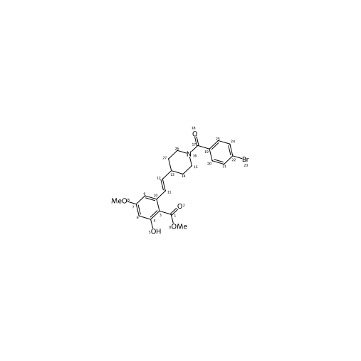 COC(=O)c1c(O)cc(OC)cc1C=CC1CCN(C(=O)c2ccc(Br)cc2)CC1